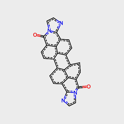 O=c1c2ccc3c4ccc5c6c(ccc(c7ccc(c2c37)c2nccn12)c46)c(=O)n1ccnc51